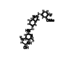 COc1cc(Cn2cc3cc(CNc4cc5c(c(C)n4)NC(O)CN5C)ccc3n2)ccc1F